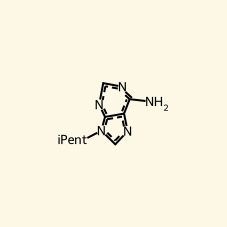 CCCC(C)n1cnc2c(N)ncnc21